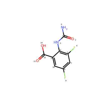 NC(=O)Nc1c(F)cc(F)cc1C(=O)O